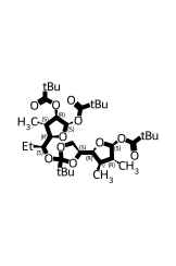 CC[C@H](OC1(C(C)(C)C)OC[C@@H]([C@@H]2O[C@@H](OC(=O)C(C)(C)C)[C@H](C)[C@H]2C)O1)[C@@H]1O[C@@H](OC(=O)C(C)(C)C)[C@H](OC(=O)C(C)(C)C)[C@H]1C